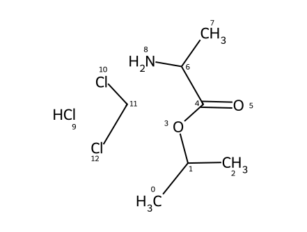 CC(C)OC(=O)C(C)N.Cl.ClCCl